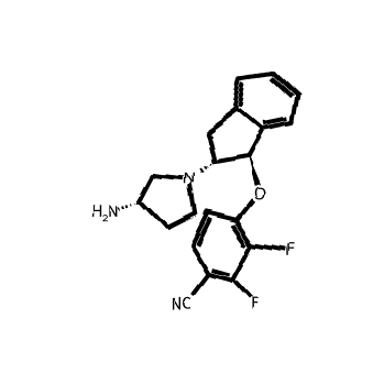 N#Cc1ccc(O[C@@H]2c3ccccc3C[C@H]2N2CC[C@H](N)C2)c(F)c1F